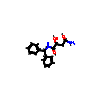 NC(=O)CC(O)C(=O)NC(c1ccccc1)c1ccccc1